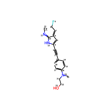 C=C(C#CC1=CC(=C/CF)/C(=N\CC)N1)/C=C\C(=C/C)N(C)CCO